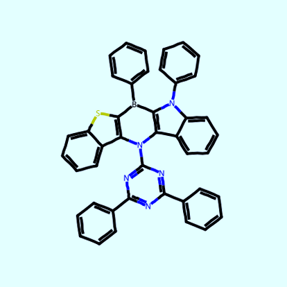 c1ccc(B2c3sc4ccccc4c3N(c3nc(-c4ccccc4)nc(-c4ccccc4)n3)c3c2n(-c2ccccc2)c2ccccc32)cc1